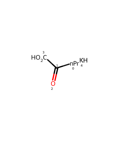 CCCC(=O)C(=O)O.[KH]